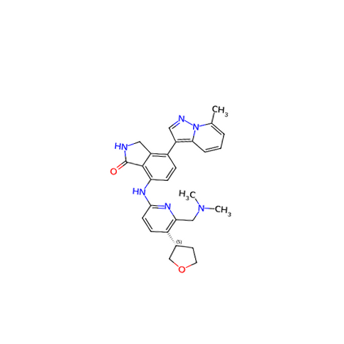 Cc1cccc2c(-c3ccc(Nc4ccc([C@@H]5CCOC5)c(CN(C)C)n4)c4c3CNC4=O)cnn12